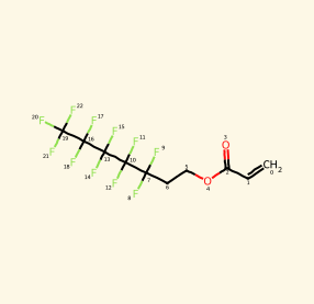 C=CC(=O)OCCC(F)(F)C(F)(F)C(F)(F)C(F)(F)C(F)(F)F